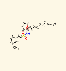 Cc1cccc(C=CS(=O)(=O)NC2C3CCC(O3)C2CC=CCCCC(=O)O)c1